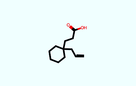 C=CCC1(CCC(=O)O)CCCCC1